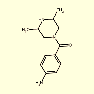 CC1CN(C(=O)c2ccc(N)cc2)CC(C)N1